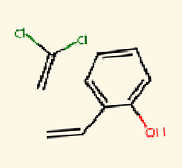 C=C(Cl)Cl.C=Cc1ccccc1O